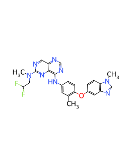 Cc1cc(Nc2ncnc3cnc(N(C)CC(F)F)nc23)ccc1Oc1ccc2c(c1)ncn2C